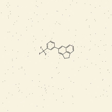 FC(F)(F)c1cccc(-c2cc3c4c(cccc4c2)[CH]C3)c1